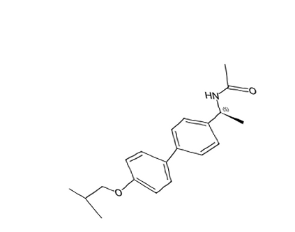 CC(=O)N[C@@H](C)c1ccc(-c2ccc(OCC(C)C)cc2)cc1